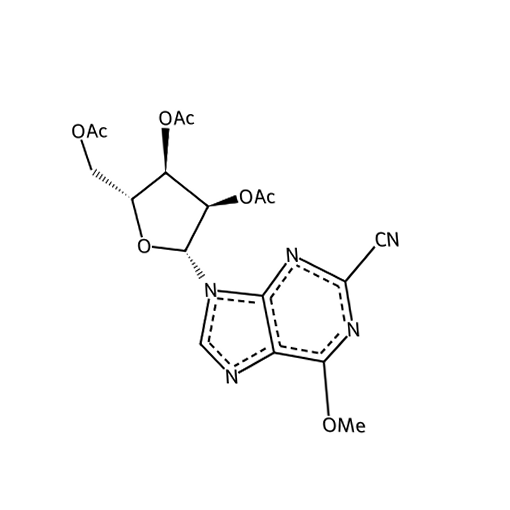 COc1nc(C#N)nc2c1ncn2[C@@H]1O[C@H](COC(C)=O)[C@@H](OC(C)=O)[C@H]1OC(C)=O